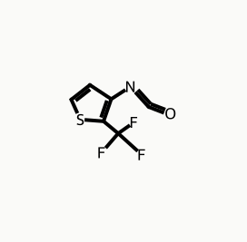 O=C=Nc1ccsc1C(F)(F)F